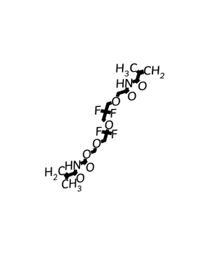 C=C(C)C(=O)NC(=O)COCC(F)(F)COC(F)(F)COCOC(=O)NC(=O)C(=C)C